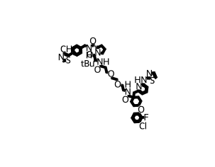 Cc1ncsc1-c1ccc(CNC(=O)[C@@H]2CCCN2C(=O)[C@@H](NC(=O)CCOCCOCCNC(=O)C2(Cc3cccc(Nc4nccs4)n3)CCC(Oc3cccc(Cl)c3F)CC2)C(C)(C)C)cc1